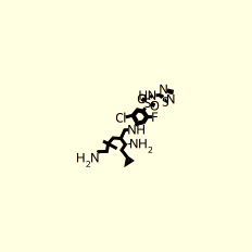 CC(C)(CCN)CC(CNc1cc(F)c(S(=O)(=O)Nc2ncns2)cc1Cl)[C@H](N)CC1CC1